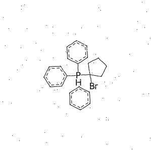 BrC1([PH](c2ccccc2)(c2ccccc2)c2ccccc2)CCCC1